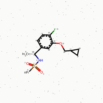 CCCS(=O)(=O)N[C@H](C)c1ccc(F)c(OCC2CC2)c1